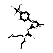 CCCN(CCOC)C(=O)N=c1sc(C)cn1-c1ccc(C(F)(F)F)cc1